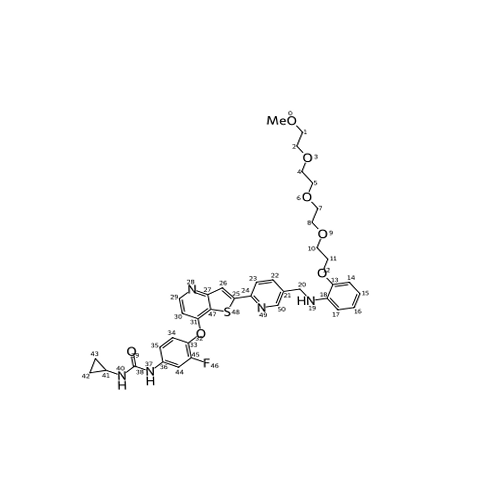 COCCOCCOCCOCCOc1ccccc1NCc1ccc(-c2cc3nccc(Oc4ccc(NC(=O)NC5CC5)cc4F)c3s2)nc1